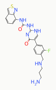 NCCCNCc1ccc(-c2c[nH]c(NC(=O)Nc3cccc4csnc34)nc2=O)cc1F